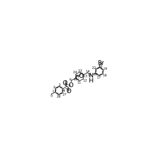 Cc1ccc(S(=O)(=O)OCC23CCC(CNc4cccc(Br)c4)(CC2)OC3)cc1